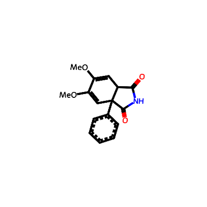 COC1=CC2C(=O)NC(=O)C2(c2ccccc2)C=C1OC